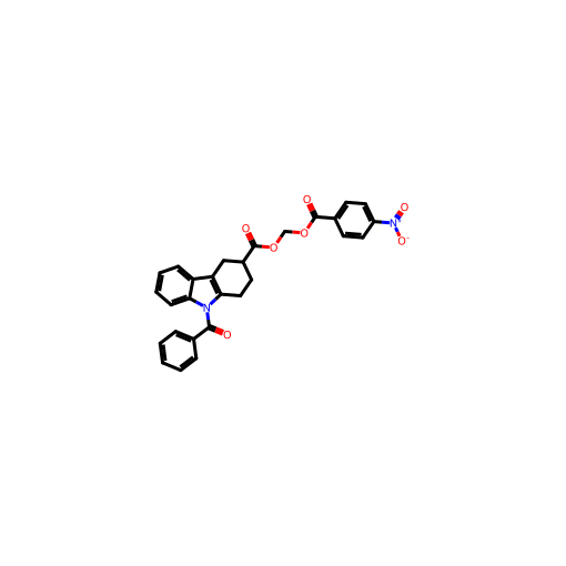 O=C(OCOC(=O)C1CCc2c(c3ccccc3n2C(=O)c2ccccc2)C1)c1ccc([N+](=O)[O-])cc1